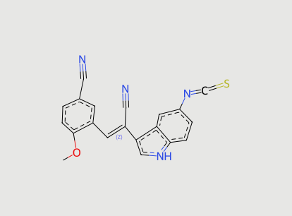 COc1ccc(C#N)cc1/C=C(\C#N)c1c[nH]c2ccc(N=C=S)cc12